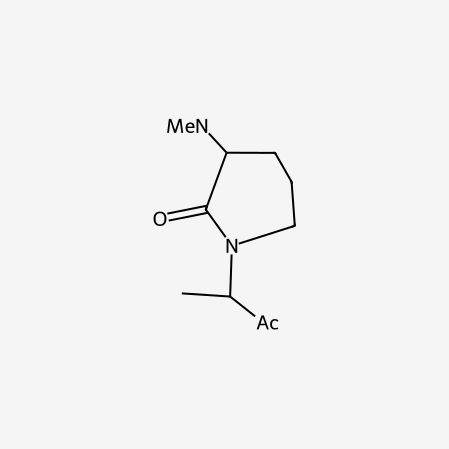 CNC1CCCN(C(C)C(C)=O)C1=O